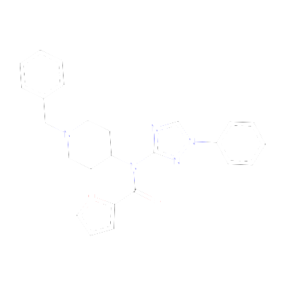 O=C(c1ccco1)N(c1ncn(-c2ccccc2)n1)C1CCN(Cc2ccccc2)CC1